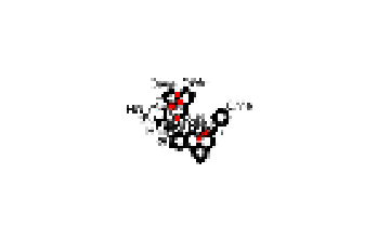 COc1ccc(CN(Cc2ccc(OC)cc2)S(=O)(=O)c2c(S(=O)(=O)NC(C(NC(=O)O)C(NC(=O)O)C(C)(C)C)C(C)(C)C)ccc(-c3cccc4ccc(N)nc34)c2-c2nnn(Cc3ccc(OC)cc3)n2)cc1